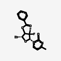 CC[C@H]1O[C@@H](n2ccc(C)nc2=O)C(F)(F)C1OC(=O)c1ccccc1